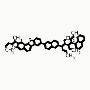 C=CC(/C(C=C)=C(\C=C\C)c1cccc2ccccc12)=C(/C=C/C)c1ccc2cc(-c3ccc4sc5c6cc7c(C)c(/C=C\C)oc7cc6ccc5c4c3)ccc2c1